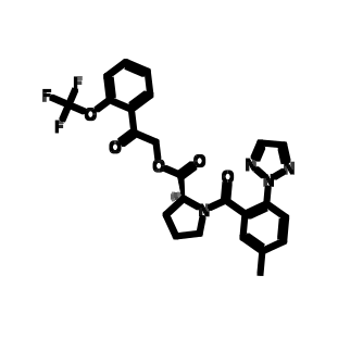 Cc1ccc(-n2nccn2)c(C(=O)N2CCC[C@H]2C(=O)OCC(=O)c2ccccc2OC(F)(F)F)c1